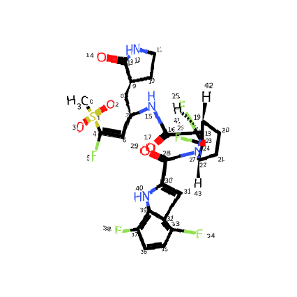 CS(=O)(=O)/C(F)=C\[C@@H](C[C@@H]1CCNC1=O)NC(=O)[C@H]1[C@@H]2CC[C@@H](CC2(F)F)N1C(=O)c1cc2c(F)ccc(F)c2[nH]1